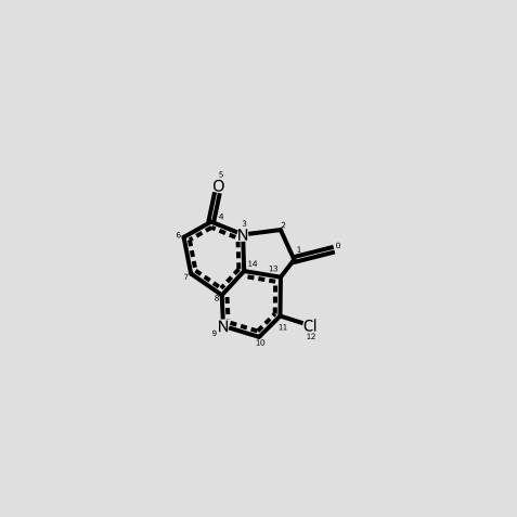 C=C1Cn2c(=O)ccc3ncc(Cl)c1c32